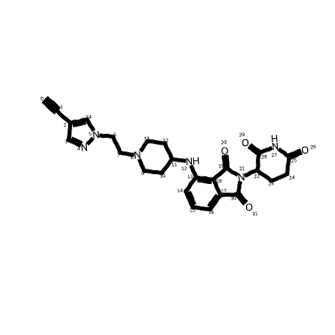 C#Cc1cnn(CCN2CCC(Nc3cccc4c3C(=O)N(C3CCC(=O)NC3=O)C4=O)CC2)c1